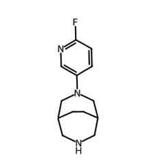 Fc1ccc(N2CC3CCC(CNC3)C2)cn1